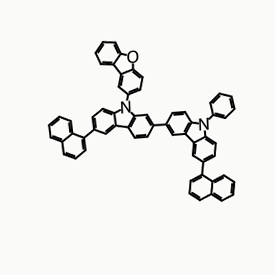 c1ccc(-n2c3ccc(-c4ccc5c6cc(-c7cccc8ccccc78)ccc6n(-c6ccc7oc8ccccc8c7c6)c5c4)cc3c3cc(-c4cccc5ccccc45)ccc32)cc1